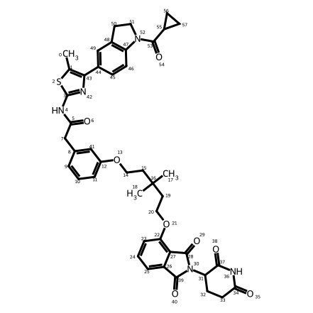 Cc1sc(NC(=O)Cc2cccc(OCCC(C)(C)CCOc3cccc4c3C(=O)N(C3CCC(=O)NC3=O)C4=O)c2)nc1-c1ccc2c(c1)CCN2C(=O)C1CC1